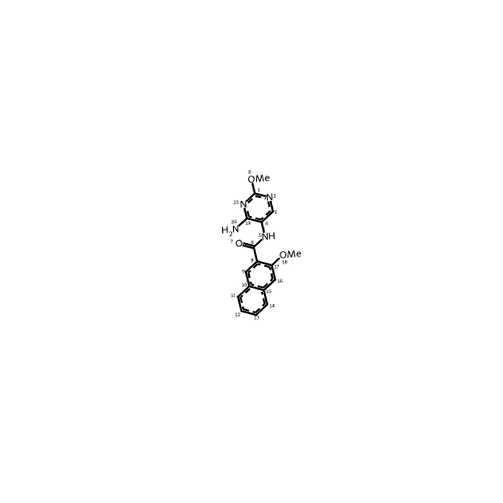 COc1ncc(NC(=O)c2cc3ccccc3cc2OC)c(N)n1